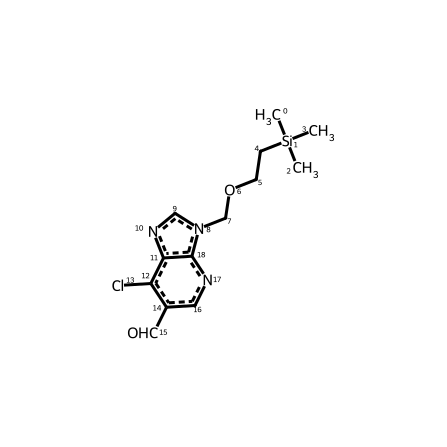 C[Si](C)(C)CCOCn1cnc2c(Cl)c(C=O)cnc21